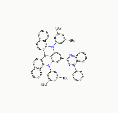 CC(C)(C)c1cc(N2c3cc(-c4nc(-c5ccccc5)c5ccccc5n4)cc4c3B(c3ccc5ccccc5c32)c2ccc3ccccc3c2N4c2cc(C(C)(C)C)cc(C(C)(C)C)c2)cc(C(C)(C)C)c1